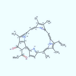 C=Cc1c(C)c2[nH]c1cc1nc(cc3[nH]c4c(c3C)C(=O)C(C(=O)OC)c4c3nc(c2C)C=C3)C(CC)=C1C